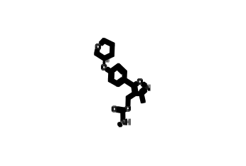 CNC(=O)OCc1c(C)noc1-c1ccc(O[C@H]2CCCOC2)cc1